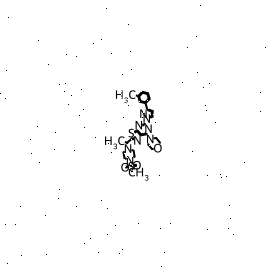 Cc1cccc(-c2ccn(-c3nc(N4CCOCC4)c4nc(C(C)N5CCN(S(C)(=O)=O)CC5)sc4n3)n2)c1